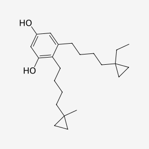 CCC1(CCCCc2cc(O)cc(O)c2CCCCC2(C)CC2)CC1